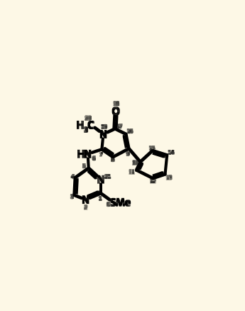 CSc1nccc(Nc2cc(-c3ccccc3)cc(=O)n2C)n1